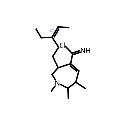 C/C=C(/CC)CCC1CN(C)C(C)C(C)C=C1C(=N)Cl